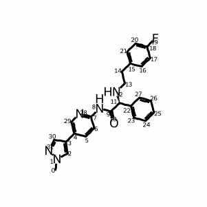 Cn1cc(-c2ccc(NC(=O)[C@@H](NCCc3ccc(F)cc3)c3ccccc3)nc2)cn1